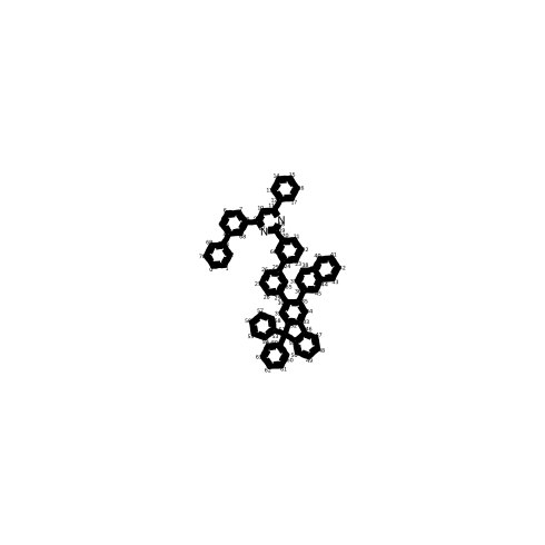 c1ccc(-c2cccc(-c3cc(-c4ccccc4)nc(-c4cccc(-c5cccc(-c6cc7c(cc6-c6ccc8ccccc8c6)-c6ccccc6C7(c6ccccc6)c6ccccc6)c5)c4)n3)c2)cc1